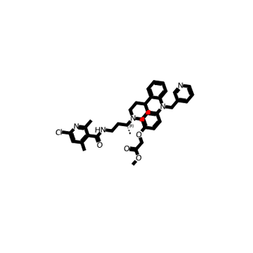 COC(=O)COc1ccc(N(Cc2cccnc2)c2ccccc2C2CCN([C@H](C)CCNC(=O)c3c(C)cc(Cl)nc3C)CC2)cc1